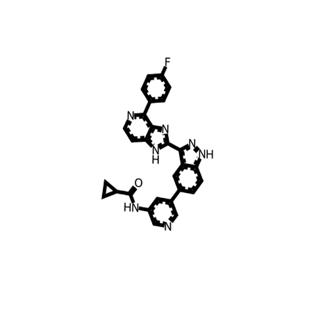 O=C(Nc1cncc(-c2ccc3[nH]nc(-c4nc5c(-c6ccc(F)cc6)nccc5[nH]4)c3c2)c1)C1CC1